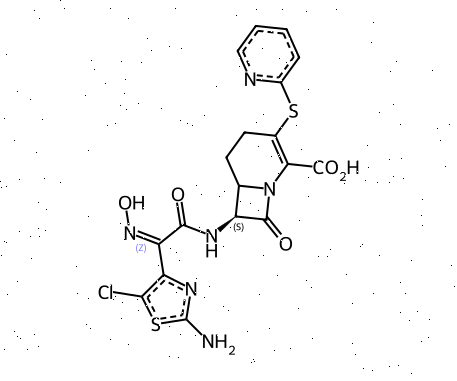 Nc1nc(/C(=N/O)C(=O)N[C@@H]2C(=O)N3C(C(=O)O)=C(Sc4ccccn4)CCC23)c(Cl)s1